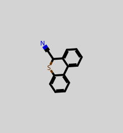 N#CC1Sc2ccccc2-c2ccccc21